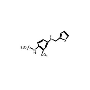 CCOC(=O)Nc1ccc(NCc2cccs2)cc1[N+](=O)[O-]